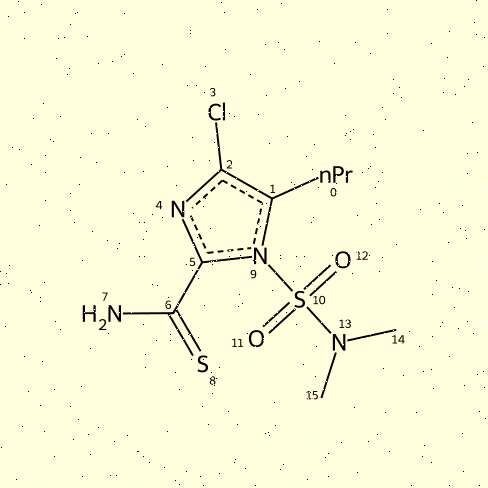 CCCc1c(Cl)nc(C(N)=S)n1S(=O)(=O)N(C)C